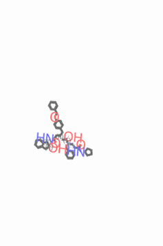 O=C(C/C=C(\Cc1ccccc1)[C@@H](O)C[C@H](CC(=O)N[C@H]1c2ccccc2C[C@H]1O)Cc1ccc(OCc2ccccc2)cc1)NC1CCCC1